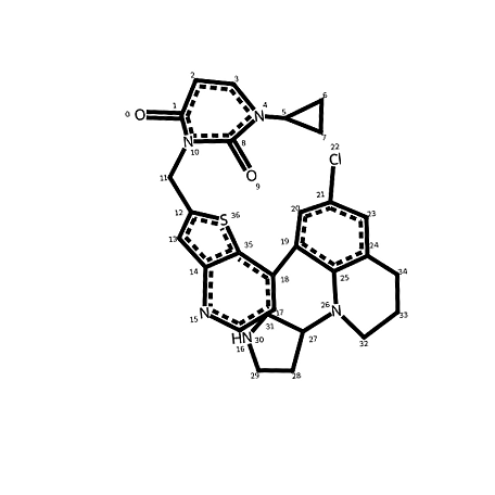 O=c1ccn(C2CC2)c(=O)n1Cc1cc2nccc(-c3cc(Cl)cc4c3N(C3CCNC3)CCC4)c2s1